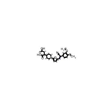 COc1ccc(/C(C#N)=C/c2ccc(N3CCC(C(CC(=O)O)C(=O)O)CC3)o2)cc1OC